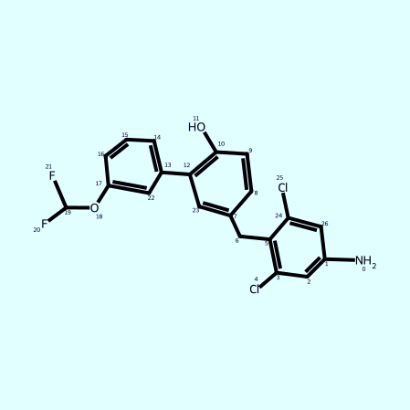 Nc1cc(Cl)c(Cc2ccc(O)c(-c3cccc(OC(F)F)c3)c2)c(Cl)c1